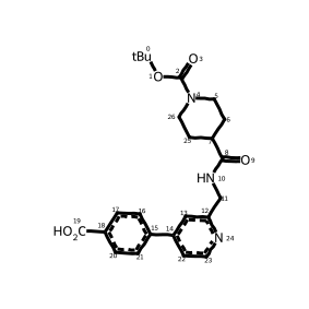 CC(C)(C)OC(=O)N1CCC(C(=O)NCc2cc(-c3ccc(C(=O)O)cc3)ccn2)CC1